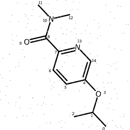 CC(C)Oc1ccc(C(=O)N(C)C)nc1